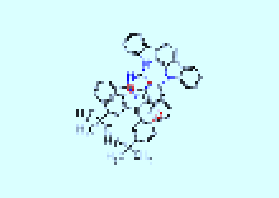 CC(C)(C)c1ccc2c(c1)B1c3cc(C(C)(C)C)ccc3Oc3cc(-n4c5ccccc5c5ccc6c7ccccc7n(-c7nc(-c8ccccc8)nc(-c8ccccc8)n7)c6c54)cc(c31)O2